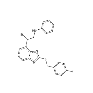 CCC(CNc1ccccc1)n1cccc2nc(SCc3ccc(F)cc3)nc1-2